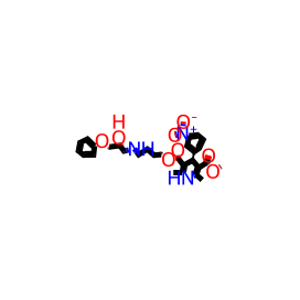 COC(=O)C1=C(C)NC(C)=C(C(=O)OCCCCNC[C@H](O)COc2ccccc2)[C@H]1c1cccc([N+](=O)[O-])c1